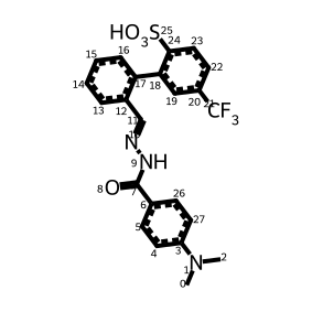 CN(C)c1ccc(C(=O)NN=Cc2ccccc2-c2cc(C(F)(F)F)ccc2S(=O)(=O)O)cc1